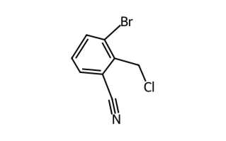 N#Cc1cccc(Br)c1CCl